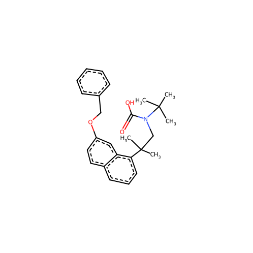 CC(C)(CN(C(=O)O)C(C)(C)C)c1cccc2ccc(OCc3ccccc3)cc12